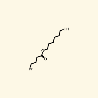 O=C(CCCBr)OCCCCCCO